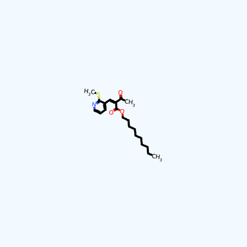 CCCCCCCCCCOC(=O)C(=Cc1cccnc1SC)C(C)=O